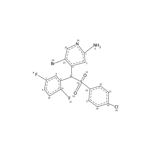 Nc1cc(C(c2cc(F)ccc2F)S(=O)(=O)c2ccc(Cl)cc2)c(Br)cn1